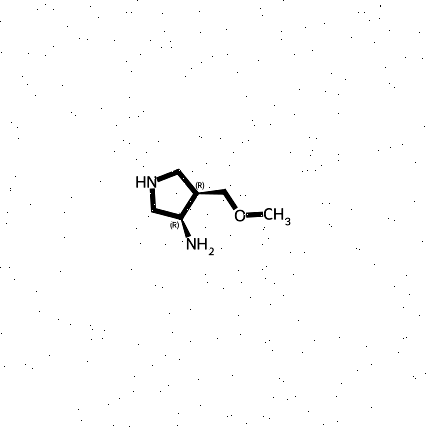 COC[C@@H]1CNC[C@@H]1N